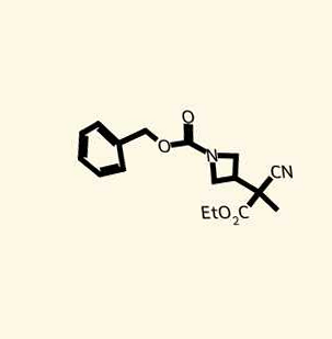 CCOC(=O)C(C)(C#N)C1CN(C(=O)OCc2ccccc2)C1